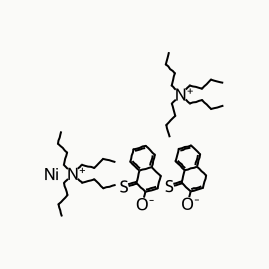 CCCC[N+](CCCC)(CCCC)CCCC.CCCC[N+](CCCC)(CCCC)CCCC.[Ni].[O-]C1=CCc2ccccc2C1=S.[O-]C1=CCc2ccccc2C1=S